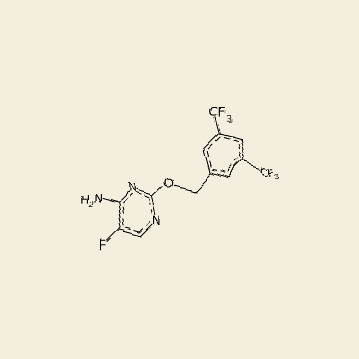 Nc1nc(OCc2cc(C(F)(F)F)cc(C(F)(F)F)c2)ncc1F